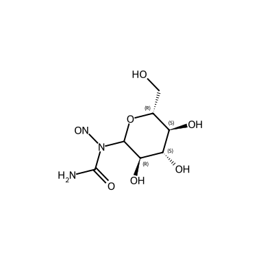 NC(=O)N(N=O)C1O[C@H](CO)[C@@H](O)[C@H](O)[C@H]1O